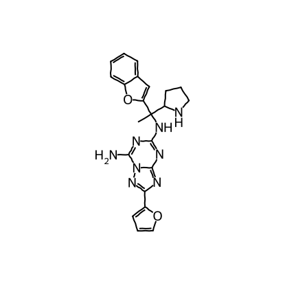 CC(Nc1nc(N)n2nc(-c3ccco3)nc2n1)(c1cc2ccccc2o1)C1CCCN1